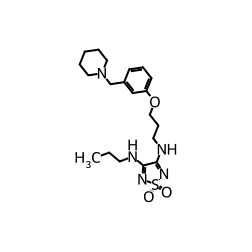 CCCNC1=NS(=O)(=O)N=C1NCCCOc1cccc(CN2CCCCC2)c1